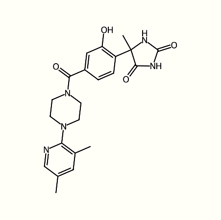 Cc1cnc(N2CCN(C(=O)c3ccc(C4(C)NC(=O)NC4=O)c(O)c3)CC2)c(C)c1